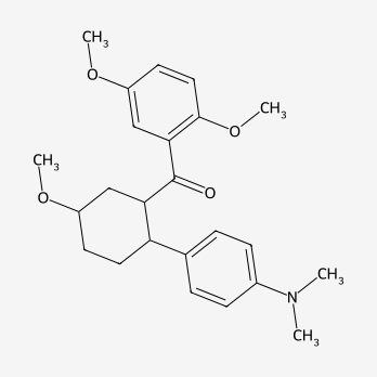 COc1ccc(OC)c(C(=O)C2CC(OC)CCC2c2ccc(N(C)C)cc2)c1